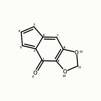 O=C1C2=CC=CC2=CC2=C1OCO2